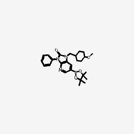 COC1CCC(Cn2c(=O)n(-c3ccccc3)c3ncc(B4OC(C)(C)C(C)(C)O4)cc32)CC1